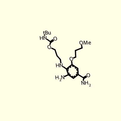 COCCCOc1cc(C(N)=O)cc(N)c1NCCCOC(=O)NC(C)(C)C